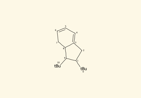 CC(C)(C)C1CC2=CC=CCC2C1C(C)(C)C